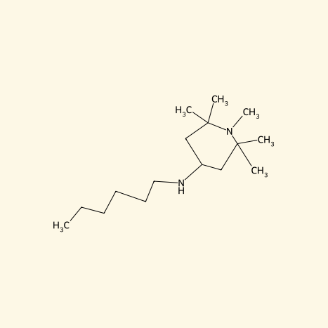 CCCCCCNC1CC(C)(C)N(C)C(C)(C)C1